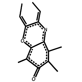 C/C=c1/nc2c(C)c(C)c(=O)c(C)c-2o/c1=C/C